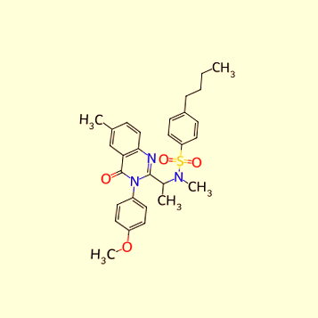 CCCCc1ccc(S(=O)(=O)N(C)C(C)c2nc3ccc(C)cc3c(=O)n2-c2ccc(OC)cc2)cc1